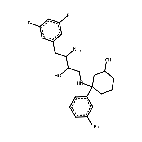 CC1CCCC(NCC(O)C(N)Cc2cc(F)cc(F)c2)(c2cccc(C(C)(C)C)c2)C1